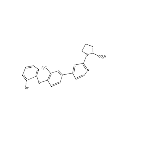 CC(C)c1ccccc1Sc1ccc(-c2ccnc(N3CCCC3C(=O)O)c2)cc1C(F)(F)F